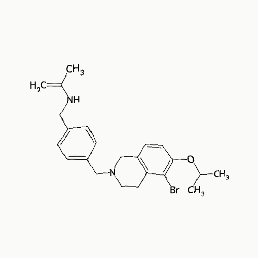 C=C(C)NCc1ccc(CN2CCc3c(ccc(OC(C)C)c3Br)C2)cc1